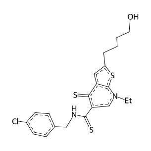 CCn1cc(C(=S)NCc2ccc(Cl)cc2)c(=S)c2cc(CCCCO)sc21